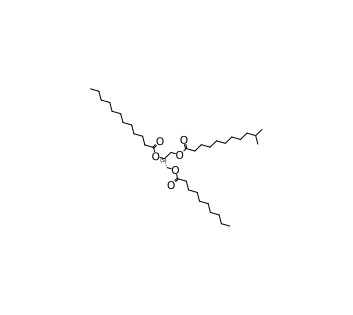 CCCCCCCCCCCC(=O)O[C@@H](COC(=O)CCCCCCCCC)COC(=O)CCCCCCCCC(C)C